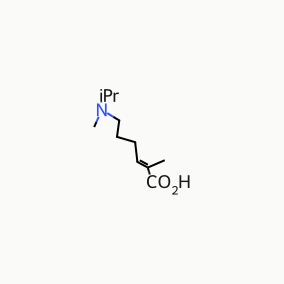 CC(=CCCCN(C)C(C)C)C(=O)O